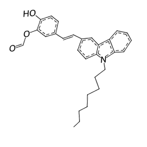 CCCCCCCCn1c2ccccc2c2cc(/C=C/c3ccc(O)c(OC=O)c3)ccc21